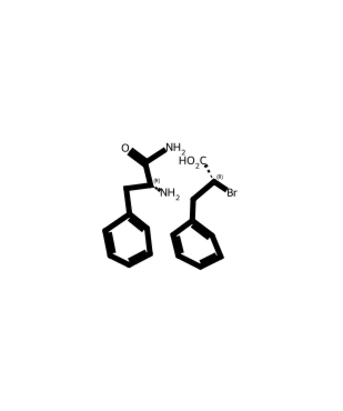 NC(=O)[C@H](N)Cc1ccccc1.O=C(O)[C@H](Br)Cc1ccccc1